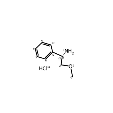 COC[C@@H](N)c1ccccc1.Cl